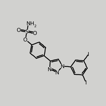 NS(=O)(=O)Oc1ccc(-c2cn(-c3cc(I)cc(I)c3)nn2)cc1